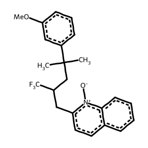 COc1cccc(C(C)(C)CC(Cc2ccc3ccccc3[n+]2[O-])C(F)(F)F)c1